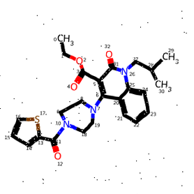 CCOC(=O)c1c(N2CCN(C(=O)c3cccs3)CC2)c2ccccc2n(CC(C)C)c1=O